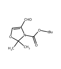 CC(C)(C)OC(=O)N1C(C=O)=COC1(C)C